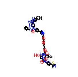 Cc1ncsc1-c1ccc(CNC(=O)[C@@H]2C[C@@H](O)CN2C(=O)[C@@H](NC(=O)COCCCCOCCOCCn2cc(-c3ccc(N(C(=O)NCc4ccccc4)C4CCC(Nc5ccc(C#N)cn5)CC4)cc3)cn2)C(C)(C)C)cc1